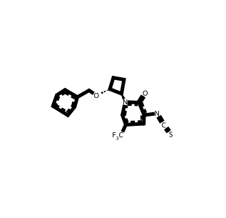 O=c1c(N=C=S)cc(C(F)(F)F)cn1[C@@H]1CC[C@H]1OCc1ccccc1